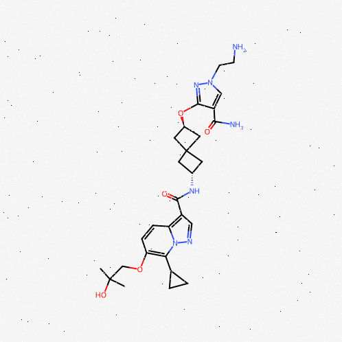 CC(C)(O)COc1ccc2c(C(=O)N[C@H]3CC4(C3)C[C@H](Oc3nn(CCN)cc3C(N)=O)C4)cnn2c1C1CC1